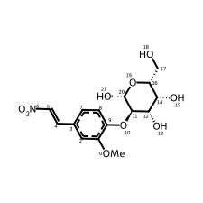 COc1cc(/C=C/[N+](=O)[O-])ccc1O[C@@H]1[C@@H](O)[C@@H](O)[C@@H](CO)O[C@H]1O